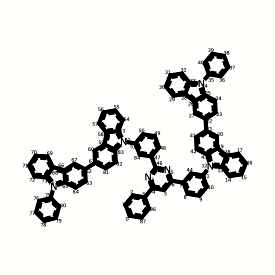 c1ccc(-c2cc(-c3cccc(-n4c5ccccc5c5cc(-c6ccc7c(c6)c6ccccc6n7-c6ccccc6)ccc54)c3)nc(-c3cccc(-n4c5ccccc5c5cc(-c6ccc7c(c6)c6ccccc6n7-c6ccccc6)ccc54)c3)n2)cc1